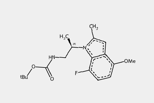 COc1ccc(F)c2c1cc(C)n2[C@H](C)CNC(=O)OC(C)(C)C